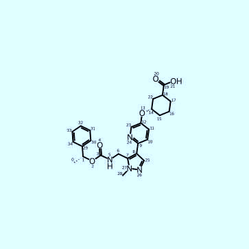 C[C@@H](OC(=O)NCc1c(-c2ccc(O[C@H]3CCCC(C(=O)O)C3)cn2)cnn1C)c1ccccc1